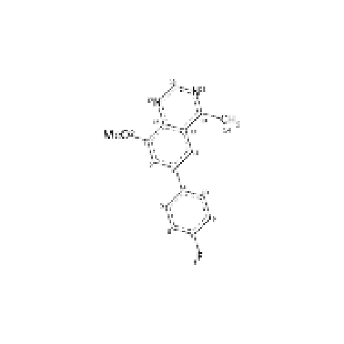 COc1cc(-c2ccc(F)cc2)cc2c(C)ncnc12